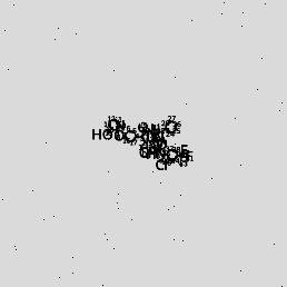 CCc1c(-c2ccc(Oc3ncccc3O)cc2)c(=O)n2nc(-c3ccccc3)nc2n1CC(=O)Nc1ccc(C(F)(F)F)cc1Cl